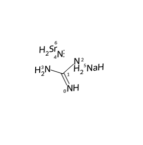 N=C(N)N.[N].[NaH].[SrH2]